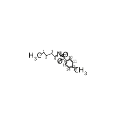 CCCCC=NS(=O)(=O)c1ccc(C)cc1